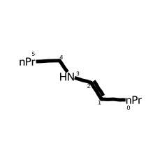 [CH2]CC/C=C/NCCCC